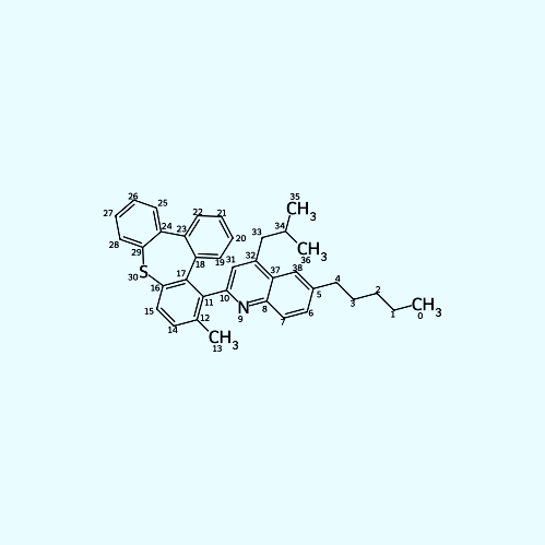 CCCCCc1ccc2nc(-c3c(C)ccc4c3-c3ccccc3-c3ccccc3S4)cc(CC(C)C)c2c1